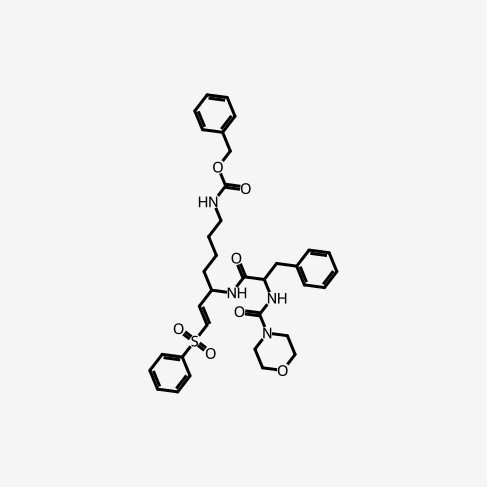 O=C(NCCCCC(C=CS(=O)(=O)c1ccccc1)NC(=O)C(Cc1ccccc1)NC(=O)N1CCOCC1)OCc1ccccc1